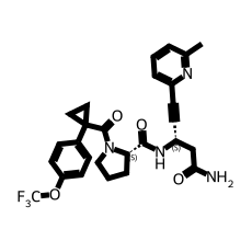 Cc1cccc(C#C[C@H](CC(N)=O)NC(=O)[C@@H]2CCCN2C(=O)C2(c3ccc(OC(F)(F)F)cc3)CC2)n1